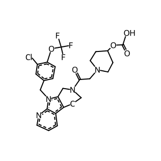 O=C(O)OC1CCN(CC(=O)N2CCc3c(n(Cc4ccc(OC(F)(F)F)c(Cl)c4)c4ncccc34)C2)CC1